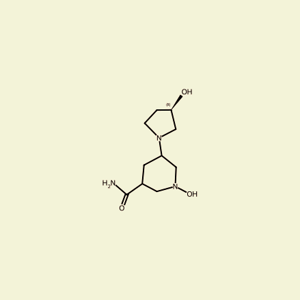 NC(=O)C1CC(N2CC[C@@H](O)C2)CN(O)C1